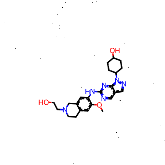 COc1cc2c(cc1Nc1ncc3cnn(C4CCC(O)CC4)c3n1)CN(CCO)CC2